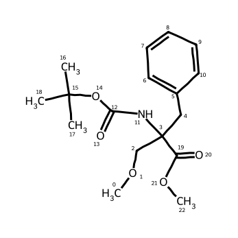 COCC(Cc1ccccc1)(NC(=O)OC(C)(C)C)C(=O)OC